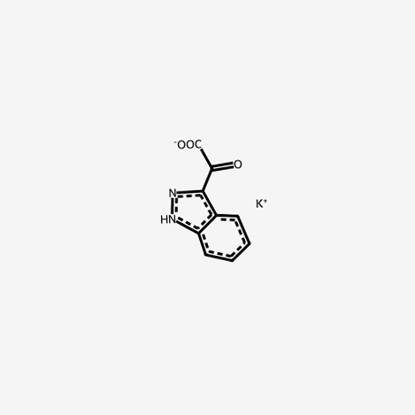 O=C([O-])C(=O)c1n[nH]c2ccccc12.[K+]